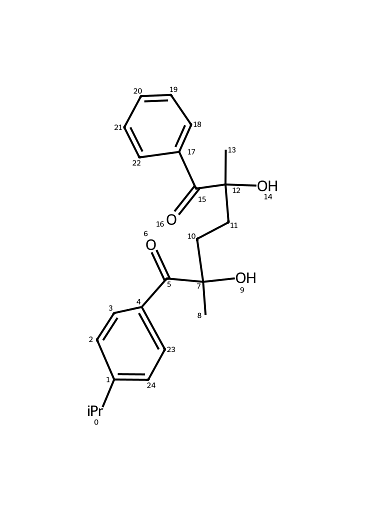 CC(C)c1ccc(C(=O)C(C)(O)CCC(C)(O)C(=O)c2ccccc2)cc1